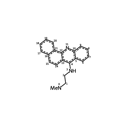 CNCCNc1c2ccccc2nc2c1ccc1ccccc12